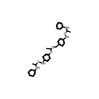 CC(Nc1ccccc1)OBc1ccc(COC(C)Oc2ccc(BOC(C)Nc3ccccc3)cc2)cc1